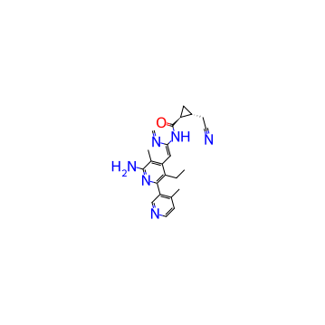 C=N/C(=C\c1c(C)c(N)nc(-c2cnccc2C)c1CC)NC(=O)[C@H]1C[C@@H]1CC#N